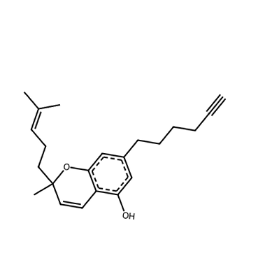 C#CCCCCc1cc(O)c2c(c1)OC(C)(CCC=C(C)C)C=C2